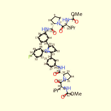 COC(=O)N[C@H](C(=O)N1CCC[C@H]1C(=O)Nc1cccc(-c2ccc(-c3cccc(NC(=O)[C@@H]4CCCN4C(=O)[C@@H](NC(=O)OC)C(C)C)c3)n2-c2ccc(F)cc2)c1)C(C)C